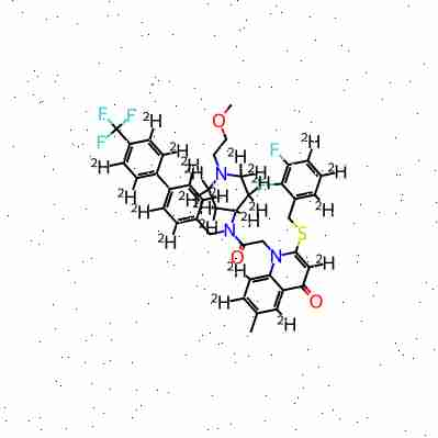 [2H]c1c([2H])c(F)c(F)c(CSc2c([2H])c(=O)c3c([2H])c(C)c([2H])c([2H])c3n2CC(=O)N(Cc2c([2H])c([2H])c(-c3c([2H])c([2H])c(C(F)(F)F)c([2H])c3[2H])c([2H])c2[2H])C2([2H])C([2H])([2H])C([2H])([2H])N(CCOC)C([2H])([2H])C2([2H])[2H])c1[2H]